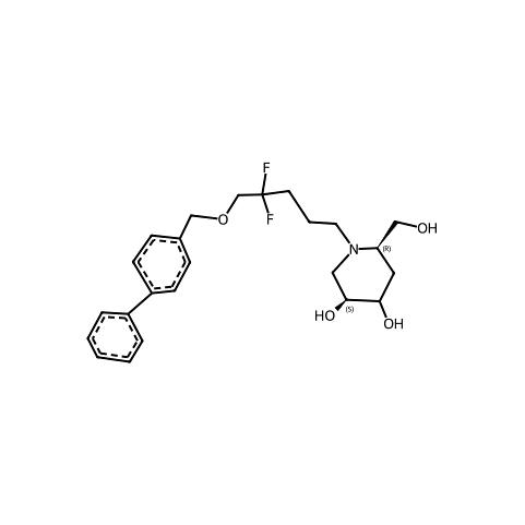 OC[C@H]1CC(O)[C@@H](O)CN1CCCC(F)(F)COCc1ccc(-c2ccccc2)cc1